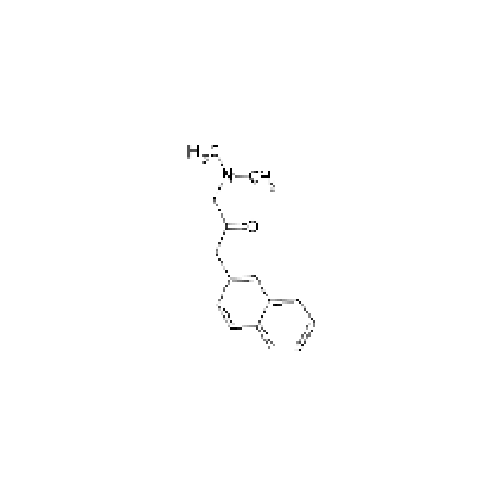 CN(C)CC(=O)Cc1ccc2ccccc2c1